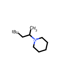 CC(CC(C)(C)C)N1CCCCC1